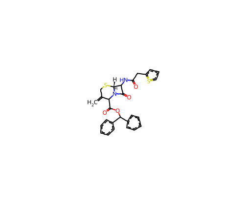 C=C1CS[C@@H]2C(NC(=O)Cc3cccs3)C(=O)N2C1C(=O)OC(c1ccccc1)c1ccccc1